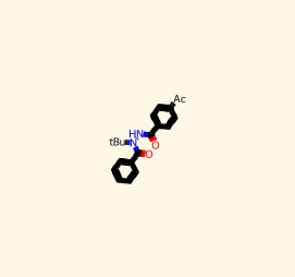 CC(=O)c1ccc(C(=O)NN(C(=O)c2ccccc2)C(C)(C)C)cc1